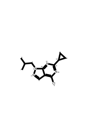 CC(C)Cn1ncc2c(Cl)nc(C3CC3)nc21